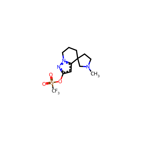 CN1CCC2(CCCn3nc(OS(=O)(=O)C(F)(F)F)cc32)C1